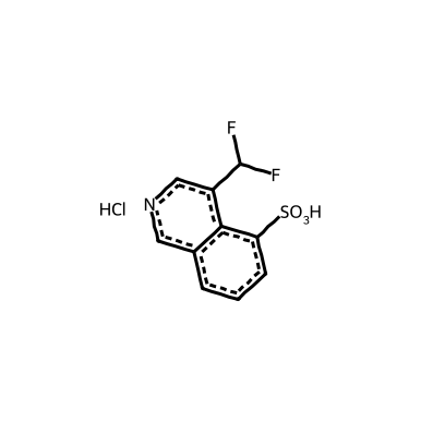 Cl.O=S(=O)(O)c1cccc2cncc(C(F)F)c12